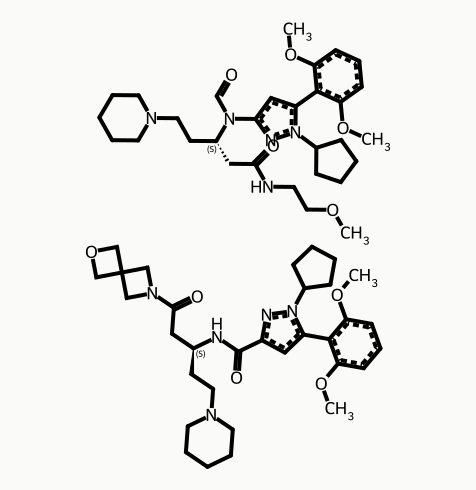 COCCNC(=O)C[C@H](CCN1CCCCC1)N(C=O)c1cc(-c2c(OC)cccc2OC)n(C2CCCC2)n1.COc1cccc(OC)c1-c1cc(C(=O)N[C@@H](CCN2CCCCC2)CC(=O)N2CC3(COC3)C2)nn1C1CCCC1